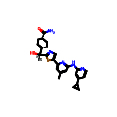 CC[C@@](O)(c1ncc(-c2cc(C)cc(Nc3cc(C4CC4)ccn3)n2)s1)[C@H]1CC[C@H](C(N)=O)CC1